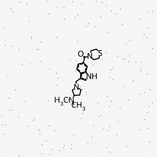 CN(C)C1CCN(Cc2c[nH]c3cc(C(=O)N4CCSCC4)ccc23)C1